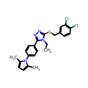 CCn1c(SCc2ccc(Cl)c(Cl)c2)nnc1-c1ccc(-n2c(C)ccc2C)cc1